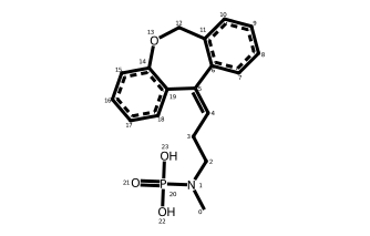 CN(CC/C=C1/c2ccccc2COc2ccccc21)P(=O)(O)O